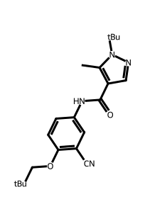 Cc1c(C(=O)Nc2ccc(OCC(C)(C)C)c(C#N)c2)cnn1C(C)(C)C